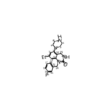 CCc1cc(N2CCNCC2)c2c(c1)N(Cc1cccc(F)c1)C(=O)NC2